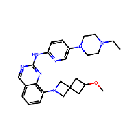 CCN1CCN(c2ccc(Nc3ncc4cccc(N5CC6(CC(OC)C6)C5)c4n3)nc2)CC1